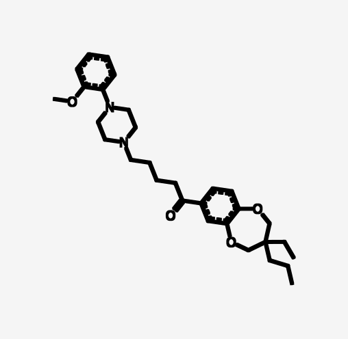 CCCC1(CC)COc2ccc(C(=O)CCCCN3CCN(c4ccccc4OC)CC3)cc2OC1